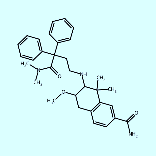 COC1Cc2ccc(C(N)=O)cc2C(C)(C)C1NCCC(C(=O)N(C)C)(c1ccccc1)c1ccccc1